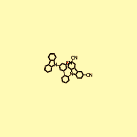 N#Cc1cc(-c2ccccc2-n2c3ccc(C#N)cc3c3cc(C#N)ccc32)cc(-n2c3ccccc3c3ccccc32)c1